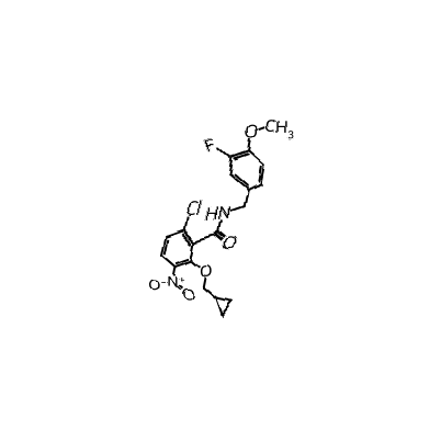 COc1ccc(CNC(=O)c2c(Cl)ccc([N+](=O)[O-])c2OCC2CC2)cc1F